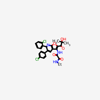 CCNC(=O)C(=O)Nc1c(C(=O)C(C)(C)O)oc2nc(-c3ccccc3Cl)c(-c3ccc(Cl)cc3)cc12